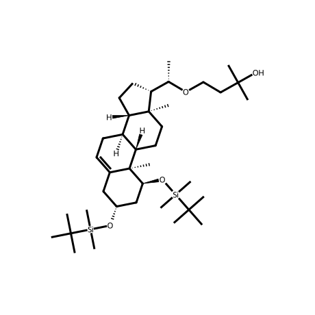 C[C@H](OCCC(C)(C)O)[C@H]1CC[C@H]2[C@@H]3CC=C4C[C@@H](O[Si](C)(C)C(C)(C)C)C[C@H](O[Si](C)(C)C(C)(C)C)[C@]4(C)[C@H]3CC[C@]12C